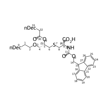 CCCCCCCCCCCCOC[C@@H](CSC[C@H](NC(=O)OCC1c2ccccc2-c2ccccc21)C(=O)O)OC(=O)CCCCCCCCCCC